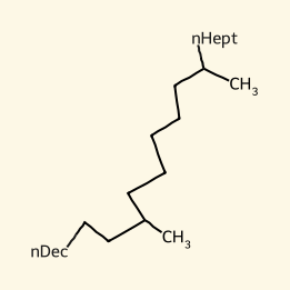 CCCCCCCCCCCCC(C)CCCCCC(C)CCCCCCC